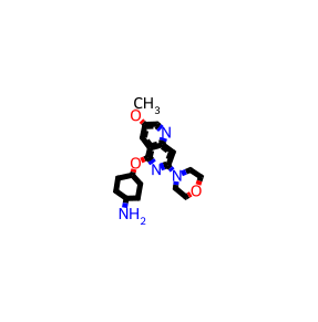 COc1cnc2cc(N3CCOCC3)nc(OC3CCC(N)CC3)c2c1